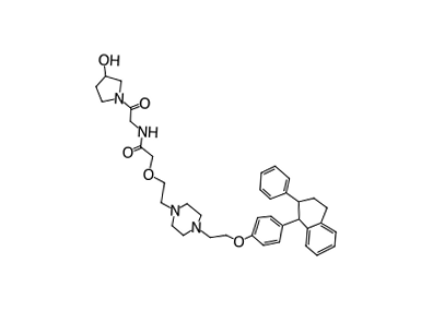 O=C(COCCN1CCN(CCOc2ccc(C3c4ccccc4CCC3c3ccccc3)cc2)CC1)NCC(=O)N1CCC(O)C1